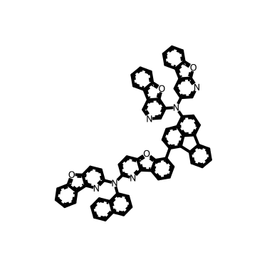 c1ccc2c(c1)-c1ccc(N(c3cnc4oc5ccccc5c4c3)c3cncc4c3oc3ccccc34)c3ccc(-c4cccc5c4oc4ccc(N(c6ccc7oc8ccccc8c7n6)c6cccc7ccccc67)nc45)c-2c13